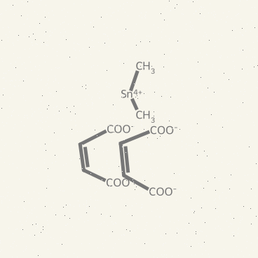 O=C([O-])/C=C\C(=O)[O-].O=C([O-])/C=C\C(=O)[O-].[CH3][Sn+4][CH3]